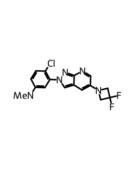 CNc1ccc(Cl)c(-n2cc3cc(N4CC(F)(F)C4)cnc3n2)c1